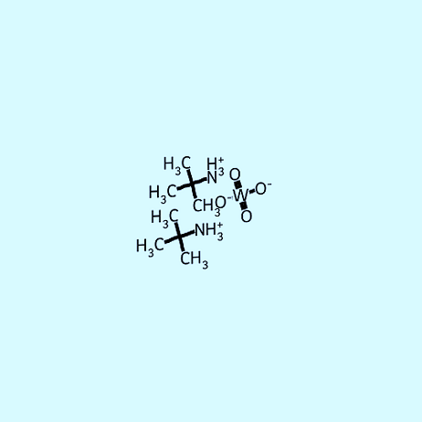 CC(C)(C)[NH3+].CC(C)(C)[NH3+].[O]=[W](=[O])([O-])[O-]